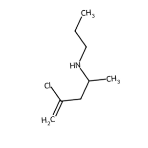 C=C(Cl)CC(C)NCCC